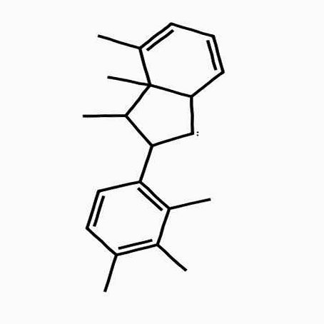 CC1=CC=CC2[C]C(c3ccc(C)c(C)c3C)C(C)C12C